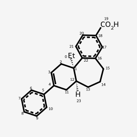 CC[C@@]12CC=C(c3ccccc3)C[C@@H]1CCCc1cc(C(=O)O)ccc12